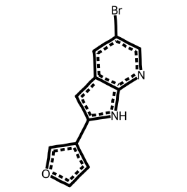 Brc1cnc2[nH]c(-c3ccoc3)cc2c1